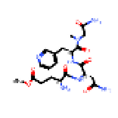 CCCCOC(=O)CC[C@H](N)C(=O)N[C@@H](CC(N)=O)C(=O)N[C@@H](Cc1cccnc1)C(=O)N(C)CC(N)=O